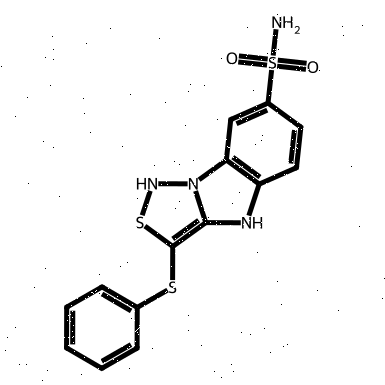 NS(=O)(=O)c1ccc2c(c1)N1NSC(Sc3ccccc3)=C1N2